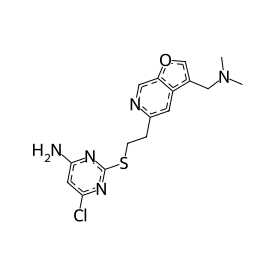 CN(C)Cc1coc2cnc(CCSc3nc(N)cc(Cl)n3)cc12